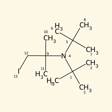 CC(C)(C)N(C(C)(C)C)C(C)(C)CI